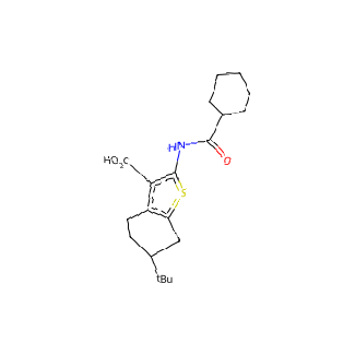 CC(C)(C)C1CCc2c(sc(NC(=O)C3CCCCC3)c2C(=O)O)C1